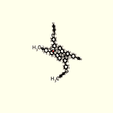 CC1C2C1C21CCC(c2ccc(-c3cc4ccccc4c(-c4c(OC(=O)c5ccc(-c6ccc(OC7C8C7C87C8C(C)C87)cc6)cc5F)c(-c5ccc(C6CCC(C7C8CC87)CC6)cc5)cc5ccccc45)c3OC(=O)c3ccc(-c4ccc(OCC5C6C5C65C6CC65)cc4)cc3F)cc2)CC1